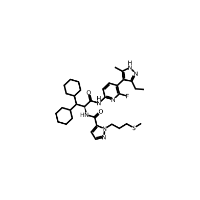 CCc1n[nH]c(C)c1-c1ccc(NC(=O)[C@@H](NC(=O)c2ccnn2CCCSC)C(C2CCCCC2)C2CCCCC2)nc1F